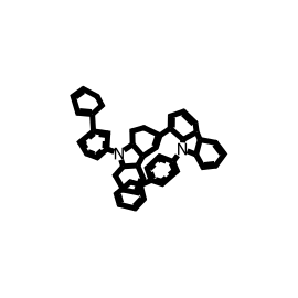 C1=CCCC(c2cccc(N3C4CCC=CC4C4C=C(C5=CC=CC6C7C=CC=CC7N(c7ccc(C8C=CC=CC8)cc7)C56)CCC43)c2)=C1